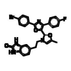 CC1=CN(CCc2ccc3[nH]c(=O)[nH]c3c2)C(c2oc(-c3ccc(Br)cc3)nc2-c2ccc(F)cc2)O1